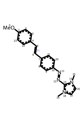 COc1ccc(/C=C/c2ccc(N=Nc3n(C)cc[n+]3C)cc2)cc1